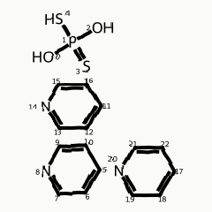 OP(O)(=S)S.c1ccncc1.c1ccncc1.c1ccncc1